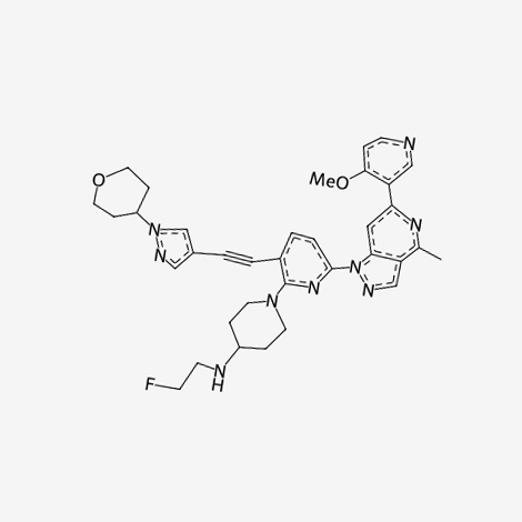 COc1ccncc1-c1cc2c(cnn2-c2ccc(C#Cc3cnn(C4CCOCC4)c3)c(N3CCC(NCCF)CC3)n2)c(C)n1